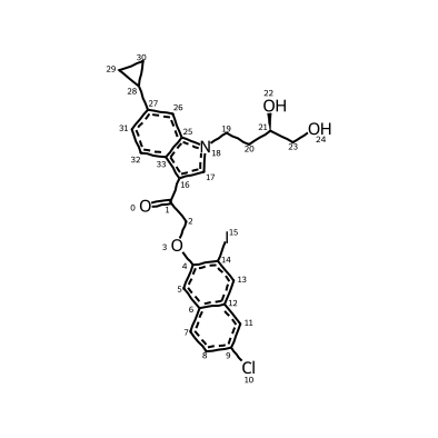 O=C(COc1cc2ccc(Cl)cc2cc1I)c1cn(CC[C@@H](O)CO)c2cc(C3CC3)ccc12